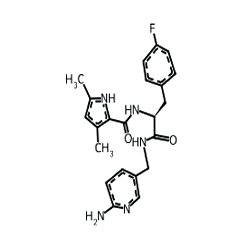 Cc1cc(C)c(C(=O)N[C@@H](Cc2ccc(F)cc2)C(=O)NCc2ccc(N)nc2)[nH]1